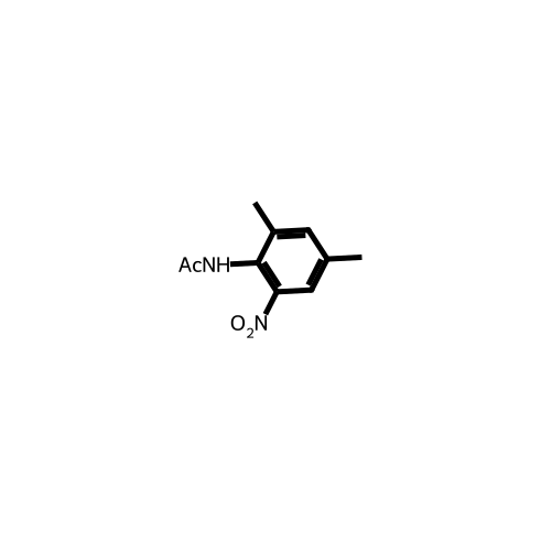 CC(=O)Nc1c(C)cc(C)cc1[N+](=O)[O-]